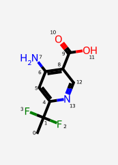 CC(F)(F)c1cc(N)c(C(=O)O)cn1